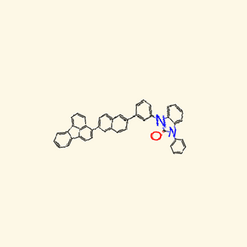 O=c1n(-c2ccccc2)c2ccccc2n1-c1cccc(-c2ccc3cc(-c4ccc5c6c(cccc46)-c4ccccc4-5)ccc3c2)c1